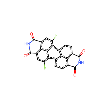 O=C1NC(=O)c2ccc3c4c(F)cc5c6c(cc(F)c(c7ccc1c2c73)c64)C(=O)NC5=O